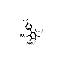 COCN1C(C)=C(C(=O)O)C(c2ccc(N(C)C)cc2)C(C(=O)O)=C1C